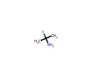 CC(C)(N)F